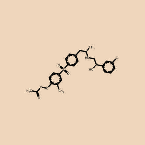 CC(=O)OOc1ccc(S(=O)(=O)c2ccc(C[C@@H](C)NC[C@H](O)c3cccc(Cl)c3)cc2)cc1C